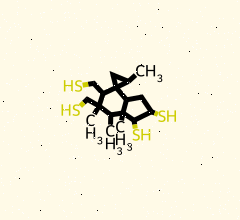 CC1C(C)(CS)C(CS)C2(CC2C)C2CC(S)C(S)C12C